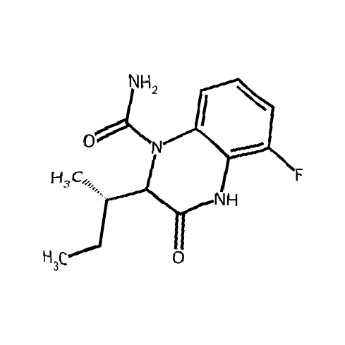 CC[C@H](C)C1C(=O)Nc2c(F)cccc2N1C(N)=O